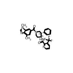 Cc1cc(C(=O)N2CC[C@@H](NC(=O)c3ncccc3C(F)(F)F)[C@@H](c3ccccc3)C2)cc2c1ncn2C